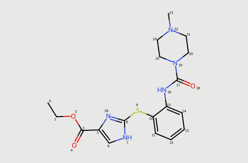 CCOC(=O)c1c[nH]c(Sc2ccccc2NC(=O)N2CCN(C)CC2)n1